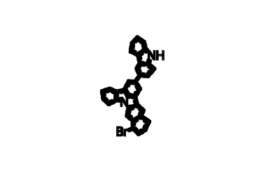 Brc1cccc2cc3c4cc(-c5ccc6[nH]c7ccccc7c6c5)cc5c6ccccc6n(c3cc12)c54